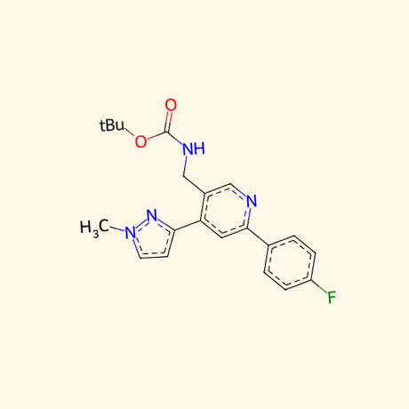 Cn1ccc(-c2cc(-c3ccc(F)cc3)ncc2CNC(=O)OC(C)(C)C)n1